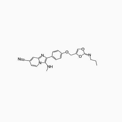 CCC/N=c1/occ(COc2ccc(-c3nc4cc(C#N)ccn4c3NC)cc2)o1